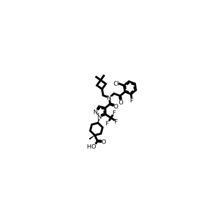 CC1(C)CC(CN(CC(=O)c2c(F)cccc2Cl)C(=O)c2cnn([C@H]3CC[C@](C)(C(=O)O)CC3)c2C(F)(F)F)C1